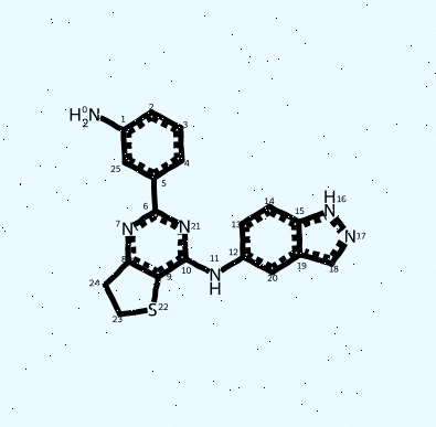 Nc1cccc(-c2nc3c(c(Nc4ccc5[nH]ncc5c4)n2)SCC3)c1